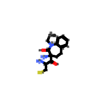 NC(CS)C(=O)C1(N)CCc2ccccc2N(C[C]=O)C1=O